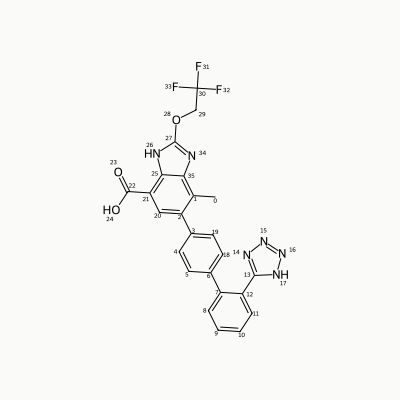 Cc1c(-c2ccc(-c3ccccc3-c3nnn[nH]3)cc2)cc(C(=O)O)c2[nH]c(OCC(F)(F)F)nc12